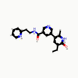 CCc1cc(-c2cncc(C(=O)NCCc3ccccn3)c2)c(C)[nH]c1=O